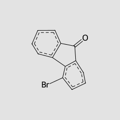 O=C1c2ccccc2-c2c(Br)cccc21